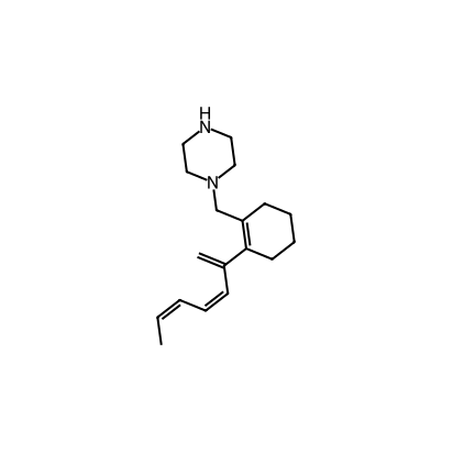 C=C(/C=C\C=C/C)C1=C(CN2CCNCC2)CCCC1